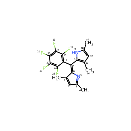 CC1=CC(C)=N/C1=C(\c1[nH]c(C)cc1C)c1c(F)c(F)c(F)c(F)c1F